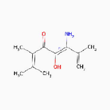 C=C(C)/C(N)=C(\O)C(=O)C(C)=C(C)C